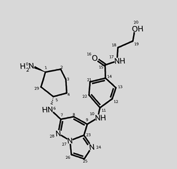 N[C@H]1CCC[C@H](Nc2cc(Nc3ccc(C(=O)NCCO)cc3)c3nccn3n2)C1